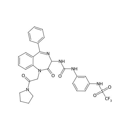 O=C(Nc1cccc(NS(=O)(=O)C(F)(F)F)c1)NC1N=C(c2ccccc2)c2ccccc2N(CC(=O)N2CCCC2)C1=O